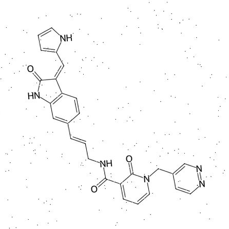 O=C1Nc2cc(/C=C/CNC(=O)c3cccn(Cc4ccnnc4)c3=O)ccc2C1=Cc1ccc[nH]1